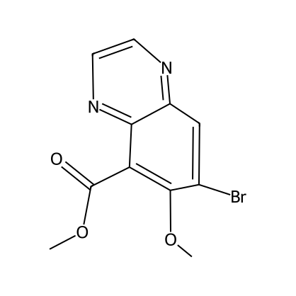 COC(=O)c1c(OC)c(Br)cc2nccnc12